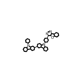 c1ccc(-n2c3ccccc3c3ccc(-c4ccc5c(c4)c4ccccc4n5-c4ccc(-c5ncnc6c5oc5ccccc56)cc4)cc32)cc1